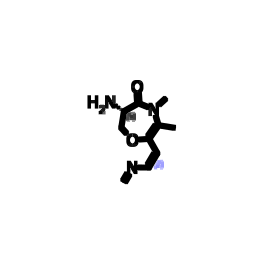 C=N/C=C\C1=C(C)N(C)C(=O)[C@@H](N)CO1